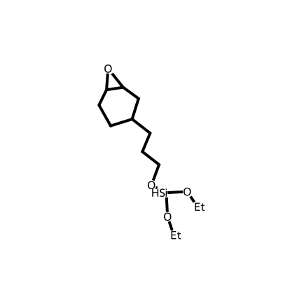 CCO[SiH](OCC)OCCCC1CCC2OC2C1